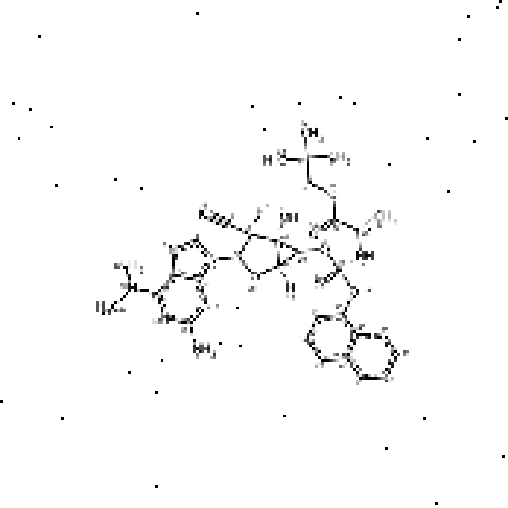 C#C[C@]1(F)[C@H](n2cnc3c(N(C)C)nc(N)nc32)O[C@@H]2C(O[P@@](=O)(N[C@@H](C)C(=O)OCC(C)(C)C)Oc3cccc4ccccc34)[C@@]21O